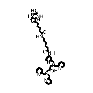 O=C(CCCCC1SC[C@@H]2NC(=O)N[C@H]12)NCCCCCC(=O)Nc1ccnc(CN(Cc2ccccn2)CC(O)CN(Cc2ccccn2)Cc2ccccn2)c1